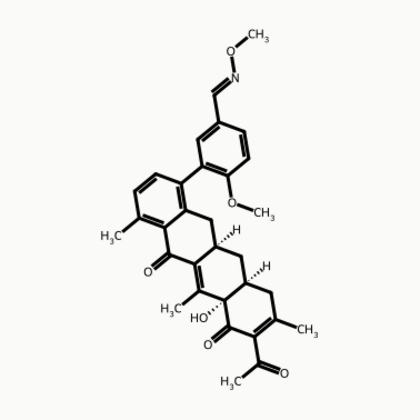 CO/N=C/c1ccc(OC)c(-c2ccc(C)c3c2C[C@H]2C[C@H]4CC(C)=C(C(C)=O)C(=O)[C@@]4(O)C(C)=C2C3=O)c1